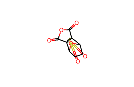 O=C1OC(=O)C23CS(=O)(=O)CC12C1CCC3O1